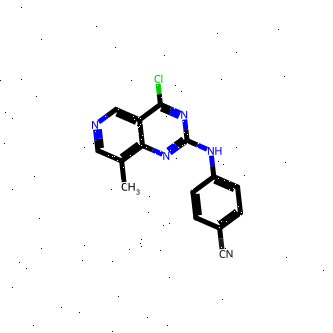 Cc1cncc2c(Cl)nc(Nc3ccc(C#N)cc3)nc12